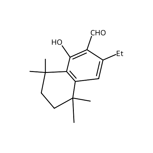 CCc1cc2c(c(O)c1C=O)C(C)(C)CCC2(C)C